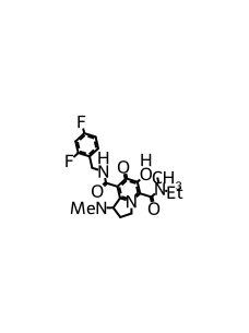 CCN(C)C(=O)c1c(O)c(=O)c(C(=O)NCc2ccc(F)cc2F)c2n1CCC2NC